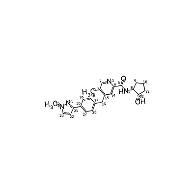 Cc1cnc(C(=O)NC2CCC[C@@H]2O)cc1Cc1ccc(-c2ccn(C)n2)cc1